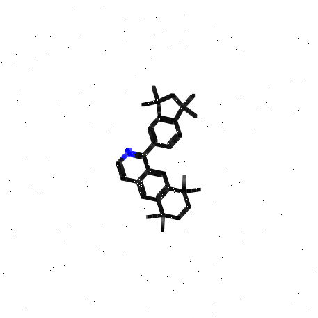 CC1(C)CCC(C)(C)c2cc3c(-c4ccc5c(c4)C(C)(C)CC5(C)C)nccc3cc21